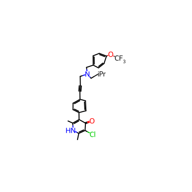 Cc1[nH]c(C)c(-c2ccc(C#CCN(Cc3ccc(OC(F)(F)F)cc3)CC(C)C)cc2)c(=O)c1Cl